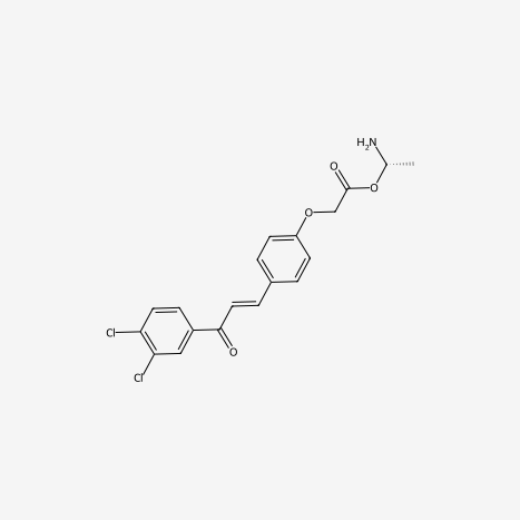 C[C@@H](N)OC(=O)COc1ccc(/C=C/C(=O)c2ccc(Cl)c(Cl)c2)cc1